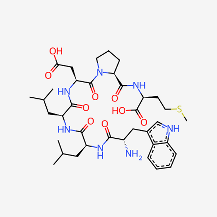 CSCC[C@H](NC(=O)[C@@H]1CCCN1C(=O)[C@H](CC(=O)O)NC(=O)[C@H](CC(C)C)NC(=O)[C@H](CC(C)C)NC(=O)[C@@H](N)Cc1c[nH]c2ccccc12)C(=O)O